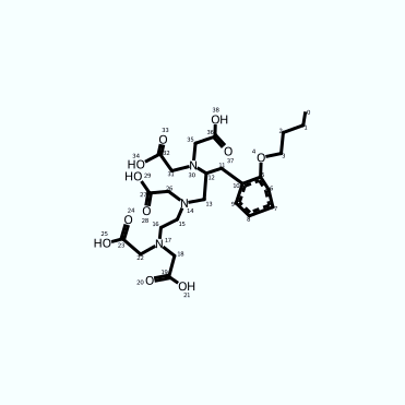 CCCCOc1ccccc1CC(CN(CCN(CC(=O)O)CC(=O)O)CC(=O)O)N(CC(=O)O)CC(=O)O